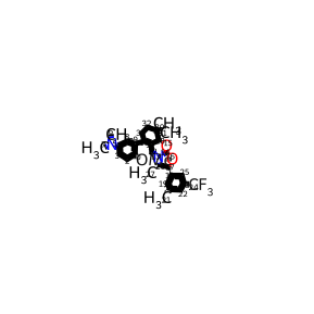 COc1ccc(N(C)C)cc1C1=C(CN2C(=O)O[C@H](c3cc(C)cc(C(F)(F)F)c3)[C@@H]2C)CC(C)(C)CC1